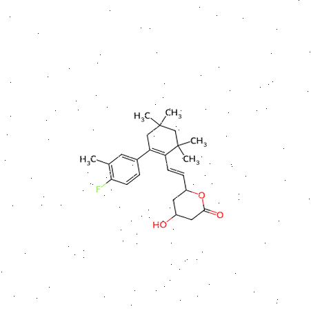 Cc1cc(C2=C(C=CC3CC(O)CC(=O)O3)C(C)(C)CC(C)(C)C2)ccc1F